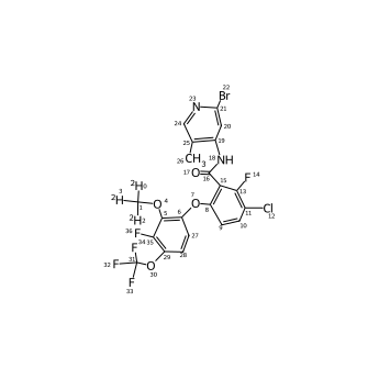 [2H]C([2H])([2H])Oc1c(Oc2ccc(Cl)c(F)c2C(=O)Nc2cc(Br)ncc2C)ccc(OC(F)(F)F)c1F